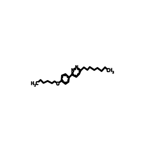 CCCCCCCCc1ccc(-c2ccc(OCCCCCC)cc2)nn1